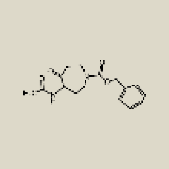 CC(=O)NC1CCN(C(=O)OCc2ccccc2)CCC1=O